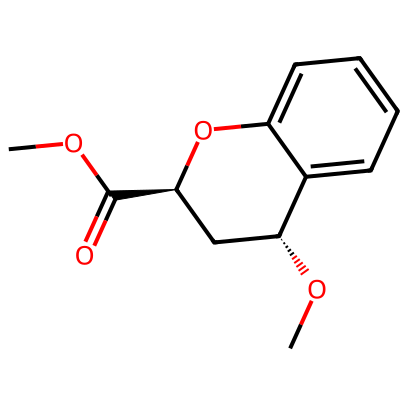 COC(=O)[C@@H]1C[C@@H](OC)c2ccccc2O1